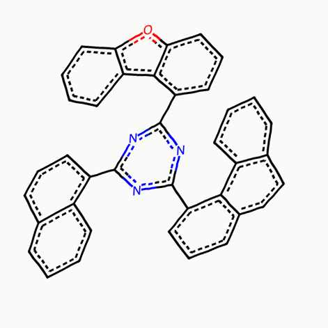 c1ccc2c(-c3nc(-c4cccc5ccc6ccccc6c45)nc(-c4cccc5oc6ccccc6c45)n3)cccc2c1